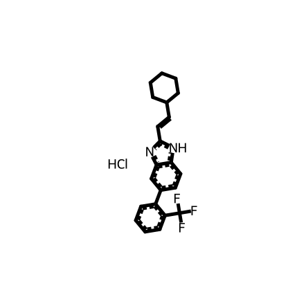 Cl.FC(F)(F)c1ccccc1-c1ccc2[nH]c(C=CC3CCCCC3)nc2c1